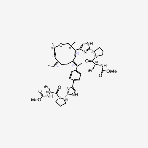 C/C=C1\C=C/[C@H](C)CC[C@@H](C)/C(c2c[nH]c([C@@H]3CCCN3C(=O)[C@@H](NC(=O)OC)C(C)C)n2)=C\C(=C(/C)c2ccc(-c3c[nH]c([C@@H]4CCCN4C(=O)[C@@H](NC(=O)OC)C(C)C)n3)cc2)CC1